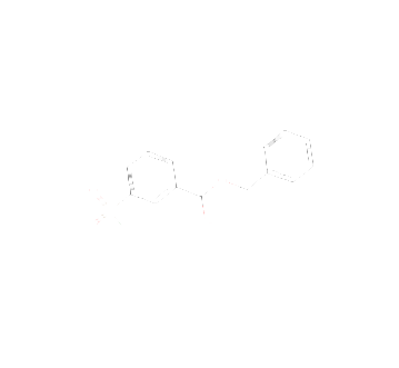 O=S(=O)(Cl)c1cccc(C(O)OCc2ccccc2)c1